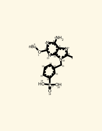 CCCCOc1nc(N)c2nc(C)n(Cc3cccc(P(=O)(O)O)c3)c2n1